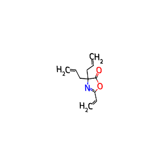 C=CCC1(CC=C)N=C(C=C)OC1=O